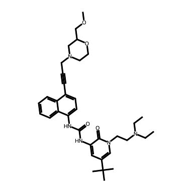 CCN(CC)CCn1cc(C(C)(C)C)cc(NC(=O)Nc2ccc(C#CCN3CCOC(COC)C3)c3ccccc23)c1=O